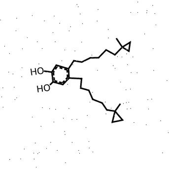 CC1(CCCCCCc2cc(O)c(O)cc2CCCCCCC2(C)CC2)CC1